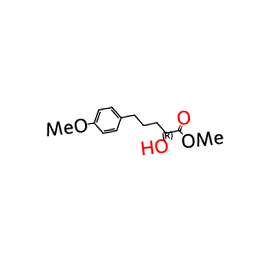 COC(=O)[C@H](O)CCCc1ccc(OC)cc1